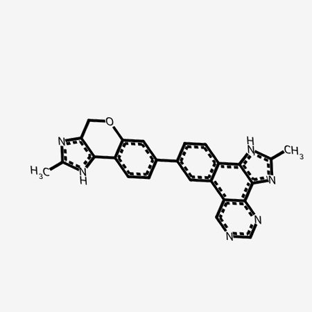 Cc1nc2c([nH]1)-c1ccc(-c3ccc4c(c3)c3cncnc3c3nc(C)[nH]c43)cc1OC2